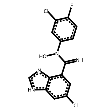 N=C(c1cc(Cl)cc2[nH]cnc12)N(O)c1ccc(F)c(Cl)c1